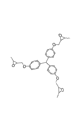 CC1OC1COc1ccc(C(c2ccc(OCC3OC3C)cc2)c2ccc(OCC3OC3C)cc2)cc1